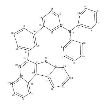 c1ccc(B(c2ccccc2)c2cccc(-c3cccc(-c4nc5ncccc5c5c4sc4ccccc45)c3)c2)cc1